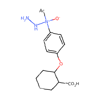 CC(=O)[N+]([O-])(NN)c1ccc(OC2CCCCC2C(=O)O)cc1